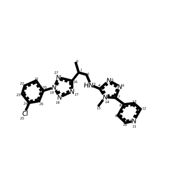 CC(CNc1nnc(-c2ccncc2)n1C)c1nnn(-c2cccc(Cl)c2)n1